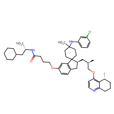 C[C@@H](COc1ccnc2c1[C@H](C)CCC2)C[C@H]1Cc2ccc(OCCCC(=O)N[C@H](CC3CCCCC3)C(=O)O)cc2C12CCC(Nc1cccc(Cl)c1)(C(=O)O)CC2